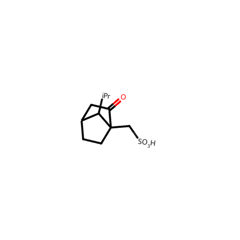 CC(C)C1C2CCC1(CS(=O)(=O)O)C(=O)C2